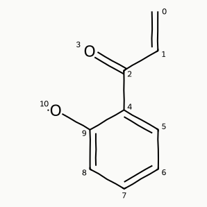 C=CC(=O)c1ccccc1[O]